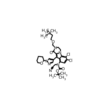 CC(C)(C)OC(=O)N(CC#N)c1cc(Cl)c(Cl)c2c1c(-c1cnn(C3CCCCO3)c1)c1n2CCN(COCC[Si](C)(C)C)C1=O